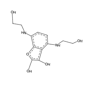 OCCNc1ccc(NCCO)c2c(O)c(O)oc12